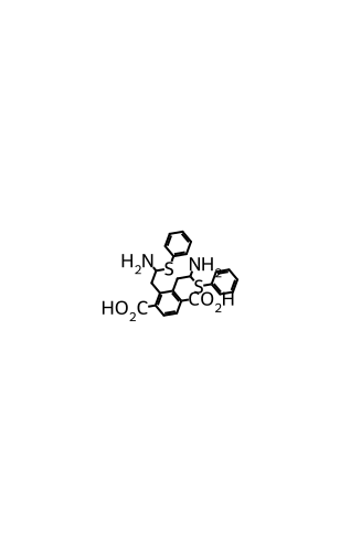 NC(Cc1c(C(=O)O)ccc(C(=O)O)c1CC(N)Sc1ccccc1)Sc1ccccc1